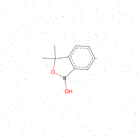 CC1(C)OB(O)c2c[c]ccc21